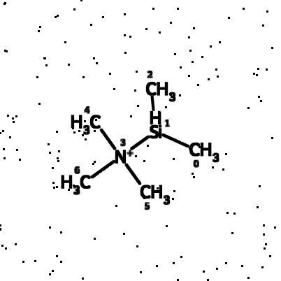 C[SiH](C)[N+](C)(C)C